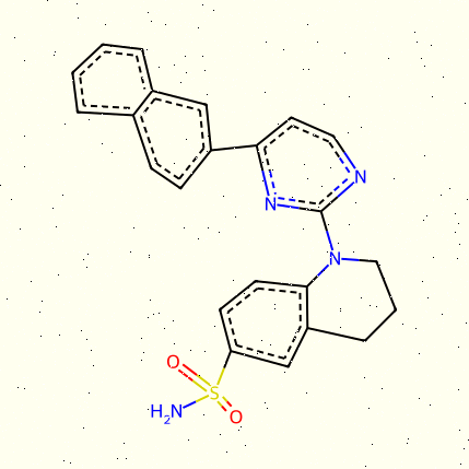 NS(=O)(=O)c1ccc2c(c1)CCCN2c1nccc(-c2ccc3ccccc3c2)n1